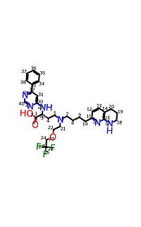 O=C(O)[C@H](CCN(CCCCc1ccc2c(n1)NCCC2)CCOCC(F)(F)F)Nc1cc(-c2ccccc2)ncn1